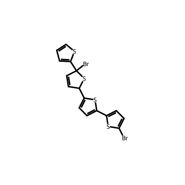 Brc1ccc(-c2ccc(C3C=CC(Br)(c4cccs4)S3)s2)s1